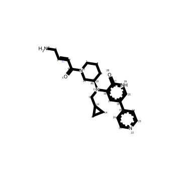 NC/C=C/C(=O)N1CCC[C@@H](N(CC2CC2)c2cc(-c3ccncc3)c[nH]c2=O)C1